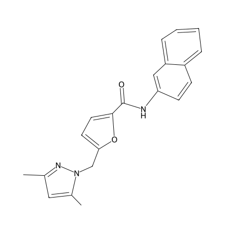 Cc1cc(C)n(Cc2ccc(C(=O)Nc3ccc4ccccc4c3)o2)n1